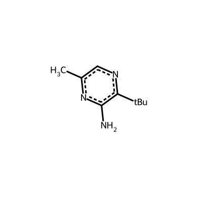 Cc1cnc(C(C)(C)C)c(N)n1